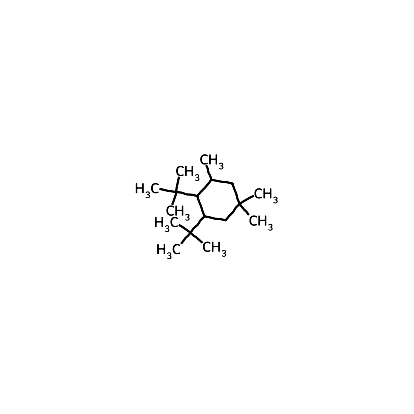 CC1CC(C)(C)CC(C(C)(C)C)C1C(C)(C)C